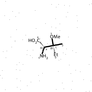 CC[C@@](C)(OC)[C@H](N)C(=O)O